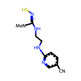 CN/C(=N\S)NCCNc1ccc(C#N)cn1